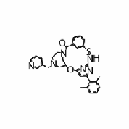 Cc1cccc(C)c1-c1cc2nc(n1)NSc1cccc(c1)C(=O)N1CCN(Cc3cccnc3)CC(C1)O2